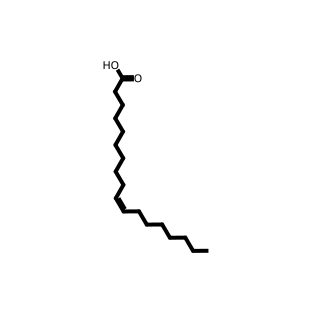 CCCCCCC/C=C\CCCCCCCCC(=O)O